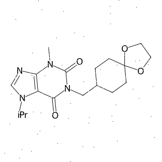 CC(C)n1cnc2c1c(=O)n(CC1CCC3(CC1)OCCO3)c(=O)n2C